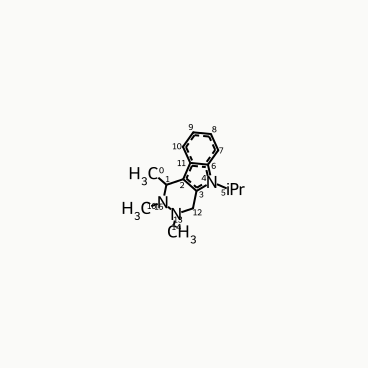 CC1c2c(n(C(C)C)c3ccccc23)CN(C)N1C